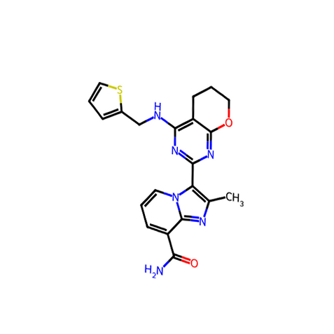 Cc1nc2c(C(N)=O)cccn2c1-c1nc(NCc2cccs2)c2c(n1)OCCC2